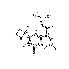 CC(=N[S@+]([O-])C(C)(C)C)c1cc(C)cc2c(=O)n(C)c(C3(C)CCC3)nc12